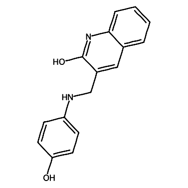 Oc1ccc(NCc2cc3ccccc3nc2O)cc1